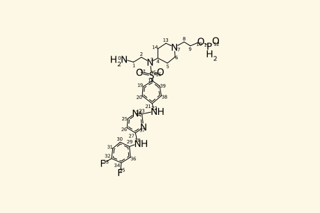 NCCN(C1CCN(CCO[PH2]=O)CC1)S(=O)(=O)c1ccc(Nc2nccc(Nc3ccc(F)c(F)c3)n2)cc1